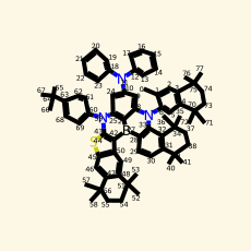 Cc1cc2c(cc1N1c3cc(N(c4ccccc4)c4ccccc4)cc4c3B(c3ccc5c(c31)C(C)(C)CCC5(C)C)c1c(sc3cc5c(cc13)C(C)(C)CCC5(C)C)N4c1ccc(C(C)(C)C)cc1)C(C)(C)CCC2(C)C